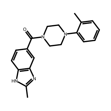 Cc1nc2cc(C(=O)N3CCN(c4ccccc4C)CC3)ccc2[nH]1